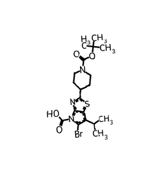 CC(C)c1c(Br)n(C(=O)O)c2nc(C3CCN(C(=O)OC(C)(C)C)CC3)sc12